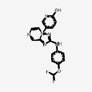 Oc1ccc([N+]23C=CN=CC2=NC(Nc2ccc(OC(F)F)cc2)=N3)cn1